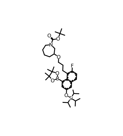 CC(C)[Si](Oc1cc(B2OC(C)(C)C(C)(C)O2)c2c(CCCOC3CCCCN(C(=O)OC(C)(C)C)C3)c(F)ccc2c1)(C(C)C)C(C)C